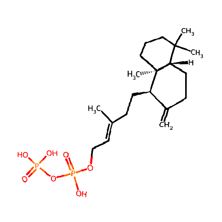 C=C1CC[C@H]2C(C)(C)CCC[C@]2(C)[C@@H]1CC/C(C)=C/COP(=O)(O)OP(=O)(O)O